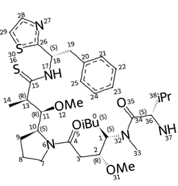 CC[C@H](C)[C@@H]([C@@H](CC(=O)N1CCC[C@H]1[C@H](OC)[C@@H](C)C(=S)N[C@@H](Cc1ccccc1)c1nccs1)OC)N(C)C(=O)[C@@H](N)C(C)C